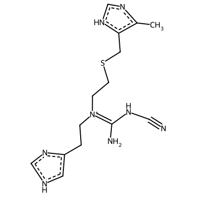 Cc1nc[nH]c1CSCC[N+](CCc1c[nH]cn1)=C(N)NC#N